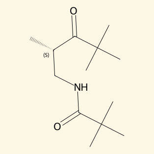 C[C@@H](CNC(=O)C(C)(C)C)C(=O)C(C)(C)C